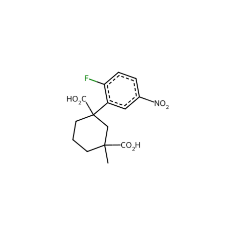 CC1(C(=O)O)CCCC(C(=O)O)(c2cc([N+](=O)[O-])ccc2F)C1